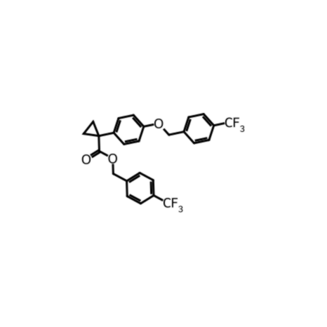 O=C(OCc1ccc(C(F)(F)F)cc1)C1(c2ccc(OCc3ccc(C(F)(F)F)cc3)cc2)CC1